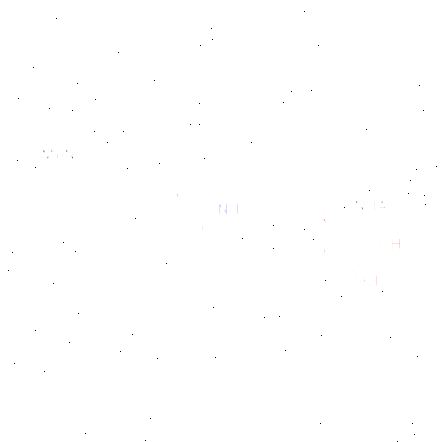 CNCCOCCOCC(=O)NCc1ccc(O[C@@H]2OC(CO)[C@@H](O)C(O)C2NC(C)=O)cc1